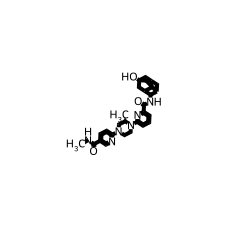 CNC(=O)c1ccc(N2CCN(c3cccc(C(=O)NC4C5CC6CC4CC(O)(C6)C5)n3)[C@H](C)C2)nc1